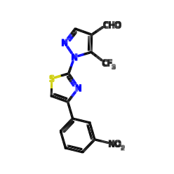 O=Cc1cnn(-c2nc(-c3cccc([N+](=O)[O-])c3)cs2)c1C(F)(F)F